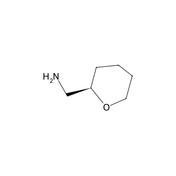 NC[C@H]1CCCCO1